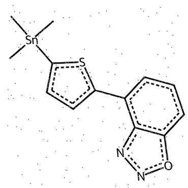 [CH3][Sn]([CH3])([CH3])[c]1ccc(-c2cccc3onnc23)s1